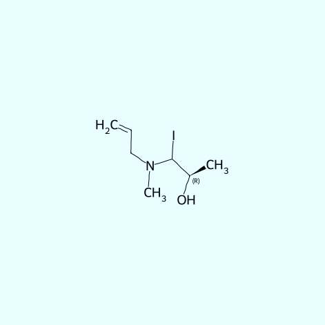 C=CCN(C)C(I)[C@@H](C)O